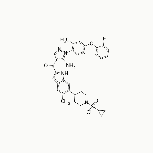 Cc1cc2cc(C(=O)c3cnn(-c4cnc(Oc5ccccc5F)cc4C)c3N)[nH]c2cc1C1CCN(S(=O)(=O)C2CC2)CC1